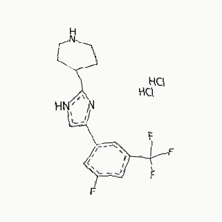 Cl.Cl.Fc1cc(-c2c[nH]c(C3CCNCC3)n2)cc(C(F)(F)F)c1